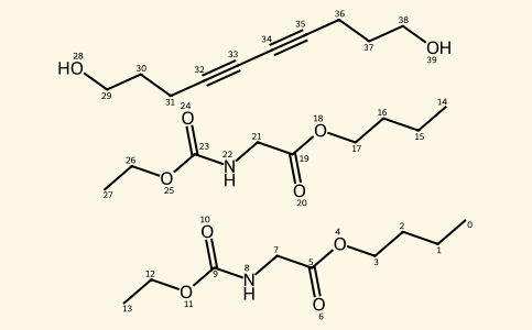 CCCCOC(=O)CNC(=O)OCC.CCCCOC(=O)CNC(=O)OCC.OCCCC#CC#CCCCO